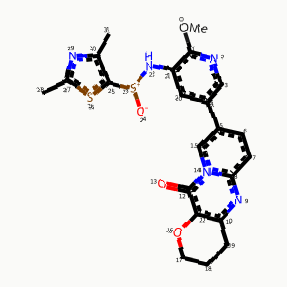 COc1ncc(-c2ccc3nc4c(c(=O)n3c2)OCCC4)cc1N[S+]([O-])c1sc(C)nc1C